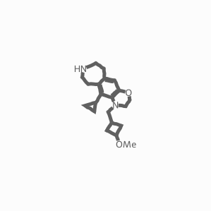 COC1CC(CN2CCOc3cc4c(c(C5CC5)c32)CCNCC4)C1